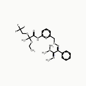 CCOC(C)(OCC(F)(F)F)C(=O)Nc1cccc(CO/N=C(\C(=N\C)N(C)N)c2ccccc2)n1